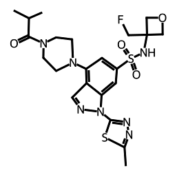 Cc1nnc(-n2ncc3c(N4CCN(C(=O)C(C)C)CC4)cc(S(=O)(=O)NC4(CF)COC4)cc32)s1